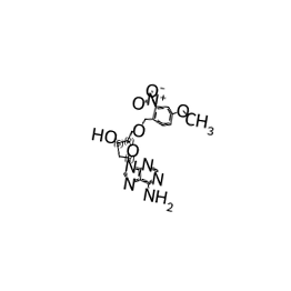 COc1ccc(COC[C@H]2O[C@@H](n3cnc4c(N)ncnc43)C[C@@H]2O)c([N+](=O)[O-])c1